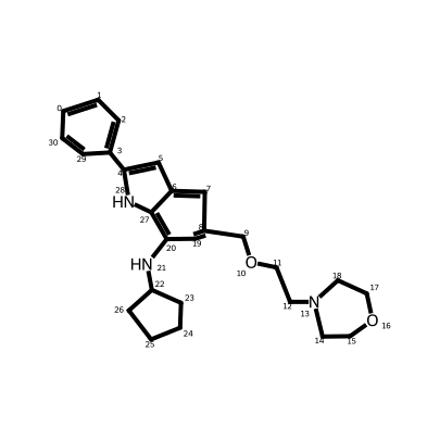 c1ccc(-c2cc3cc(COCCN4CCOCC4)cc(NC4CCCC4)c3[nH]2)cc1